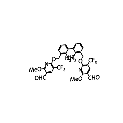 COc1nc(OCc2cccc(-c3cccc(COc4nc(OC)c(C=O)cc4C(F)(F)F)c3C)c2C)c(C(F)(F)F)cc1C=O